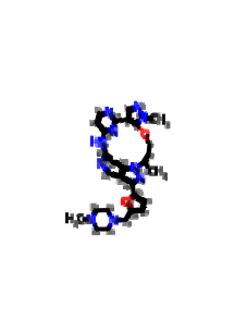 CC1CCOc2c(cnn2C)-c2nccc(n2)Nc2cc3c(cn2)c(-c2ccc(CN4CCN(C)CC4)o2)nn31